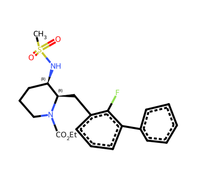 CCOC(=O)N1CCC[C@@H](NS(C)(=O)=O)[C@H]1Cc1cccc(-c2ccccc2)c1F